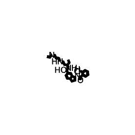 C=C/N=C\C=C\NCCC(CC)NC(O)C1=CC2C(C=C1)CC[C@H]2NC(=O)c1ccccc1Cl